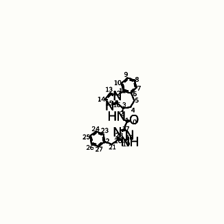 O=C(N[C@@H]1CCc2ccccc2-n2ccnc21)c1n[nH]c(Cc2ccccc2)n1